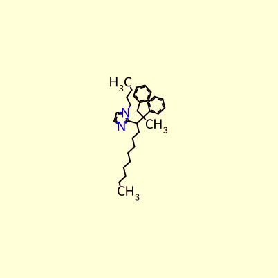 CCCCCCCCCC(c1nccn1CCCC)C(C)(Cc1ccccc1)c1ccccc1